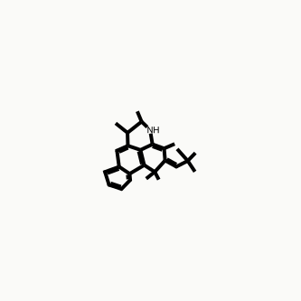 CC1=C2NC(C)C(C)c3cc4ccccc4c(c32)C(C)(C)/C1=C/C(C)(C)C